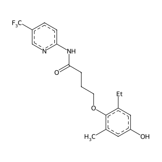 CCc1cc(O)cc(C)c1OCCCC(=O)Nc1ccc(C(F)(F)F)cn1